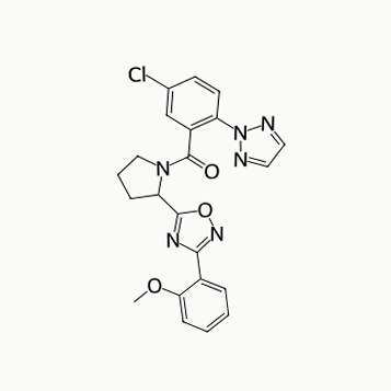 COc1ccccc1-c1noc(C2CCCN2C(=O)c2cc(Cl)ccc2-n2nccn2)n1